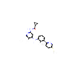 COc1c(Nc2cc(NC(=O)C3CC3)ncc2C(=O)O)cccc1-c1ccc(SC(C)C)cn1